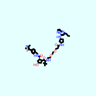 CCCc1cc(N[C@@H]2CCC(NC(=O)CCOCCOCCN[C@H](C(=O)C3C[C@H](O)C[C@H]3C(=O)NCc3ccc(-c4scnc4C)cc3)C(C)(C)C)C2)n2nccc2n1